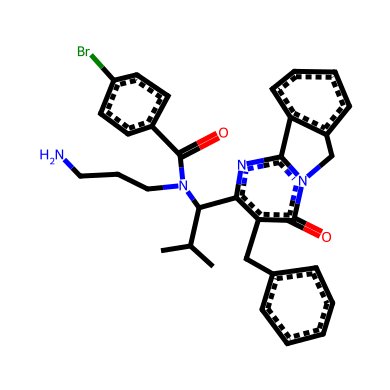 CC(C)C(c1nc2n(c(=O)c1Cc1ccccc1)Cc1ccccc1-2)N(CCCN)C(=O)c1ccc(Br)cc1